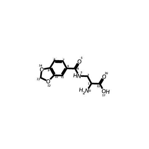 NC(CNC(=O)c1ccc2c(c1)OCO2)C(=O)O